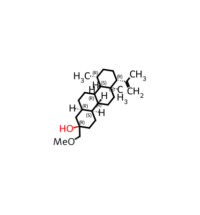 C=C(C)[C@H]1CC[C@@H](C)[C@H]2[C@@H]3CC[C@@H]4C[C@@](O)(COC)CC[C@@H]4[C@H]3CC[C@@]21C